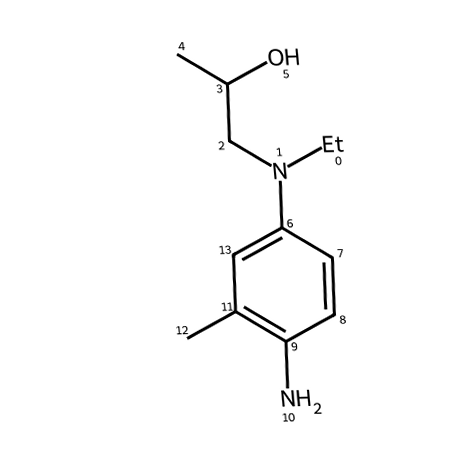 CCN(CC(C)O)c1ccc(N)c(C)c1